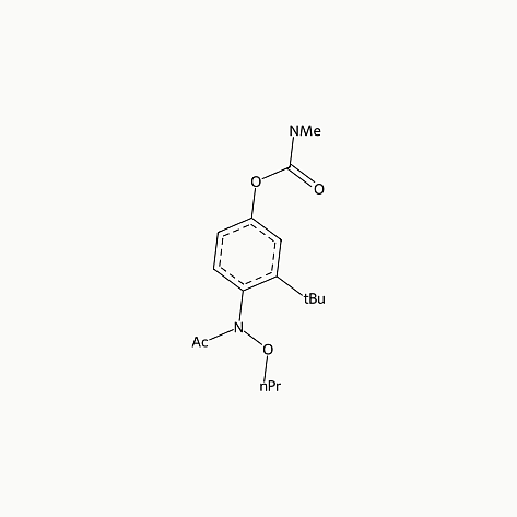 CCCON(C(C)=O)c1ccc(OC(=O)NC)cc1C(C)(C)C